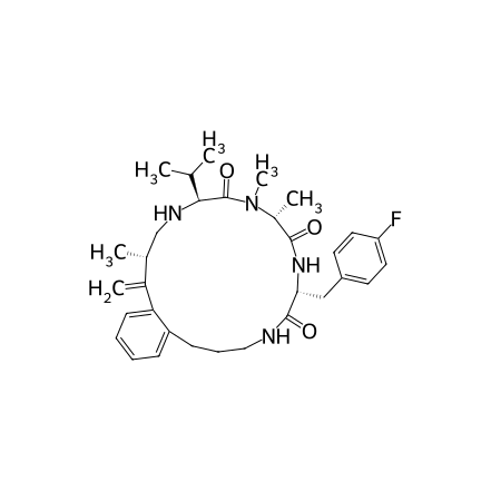 C=C1c2ccccc2CCCNC(=O)[C@@H](Cc2ccc(F)cc2)NC(=O)[C@@H](C)N(C)C(=O)[C@H](C(C)C)NC[C@H]1C